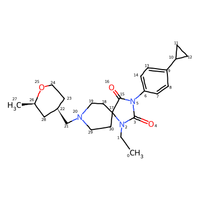 CCN1C(=O)N(c2ccc(C3CC3)cc2)C(=O)C12CCN(C[C@@H]1CCO[C@H](C)C1)CC2